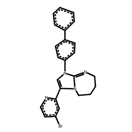 Brc1ccnc(C2=CN(c3ccc(-c4ccccc4)cc3)C3=NCCCCN23)c1